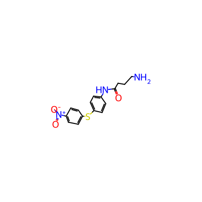 NCCCC(=O)Nc1ccc(Sc2ccc([N+](=O)[O-])cc2)cc1